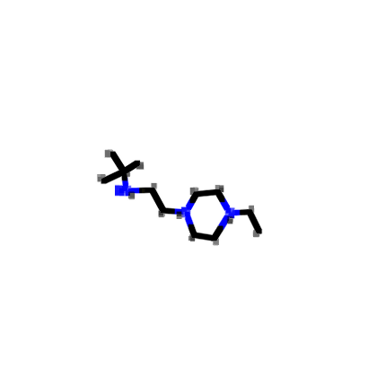 CCN1CCN(CCNC(C)(C)C)CC1